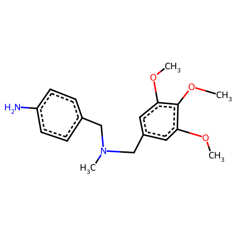 COc1cc(CN(C)Cc2ccc(N)cc2)cc(OC)c1OC